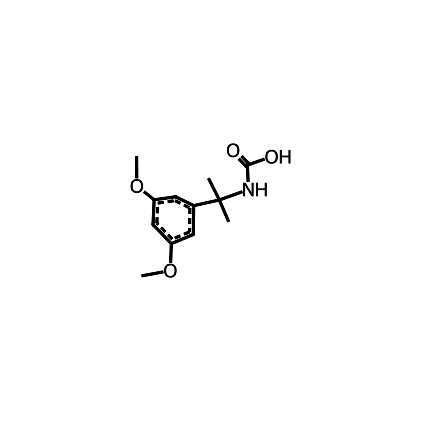 COc1cc(OC)cc(C(C)(C)NC(=O)O)c1